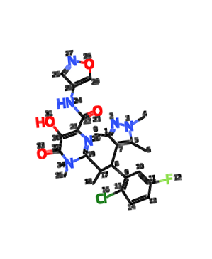 Cc1nn(C)c(C)c1C(c1cc(F)ccc1Cl)C(C)c1nc(C(=O)Nc2cnoc2)c(O)c(=O)n1C